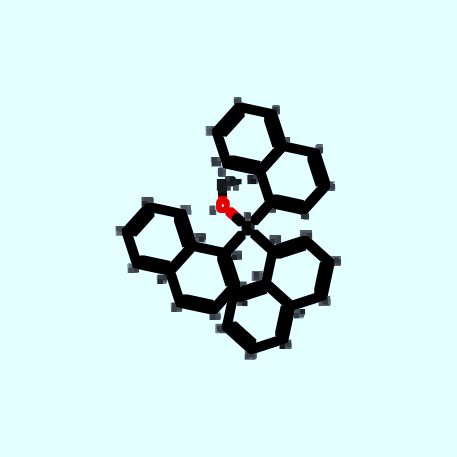 CCCO[Si](c1cccc2ccccc12)(c1cccc2ccccc12)c1cccc2ccccc12